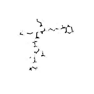 CC(NCCCC[C@H](NC(=O)[C@@H](N)CS)C(=O)N[C@@H](CCCNC(=N)N)C(=O)NC(C)(C)C(=O)N[C@@H](CC(N)=O)C(=O)N[C@@H](CS)C(=O)N[C@H](C(=O)O)C(C)(C)C)=C1C(=O)CC(C)(C)CC1=O